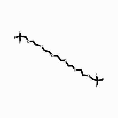 FC(F)(F)COCCOCCOCCOCCOCCOCC(F)(F)F